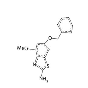 COc1cc(OCc2ccccc2)cc2sc(N)nc12